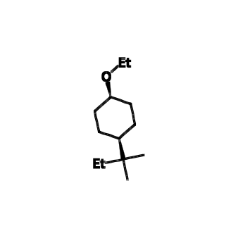 CCO[C@H]1CC[C@@H](C(C)(C)CC)CC1